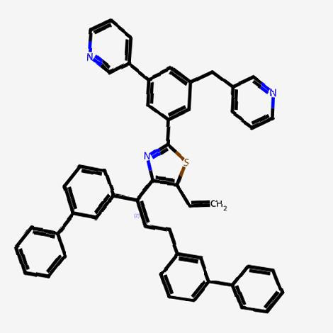 C=Cc1sc(-c2cc(Cc3cccnc3)cc(-c3cccnc3)c2)nc1/C(=C\Cc1cccc(-c2ccccc2)c1)c1cccc(-c2ccccc2)c1